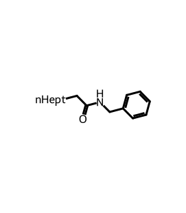 [CH2]CCCCCCCC(=O)NCc1ccccc1